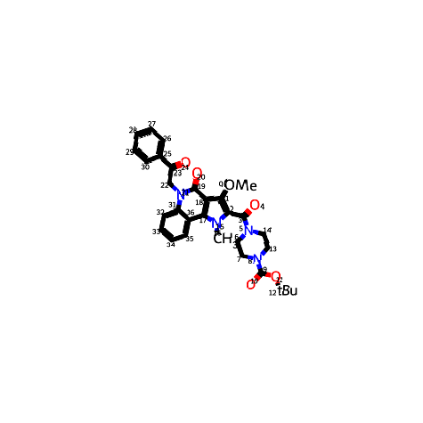 COc1c(C(=O)N2CCN(C(=O)OC(C)(C)C)CC2)n(C)c2c1c(=O)n(CC(=O)c1ccccc1)c1ccccc21